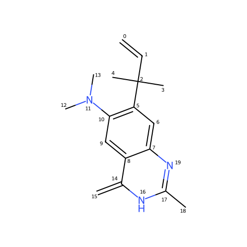 C=CC(C)(C)c1cc2c(cc1N(C)C)C(=C)NC(C)=N2